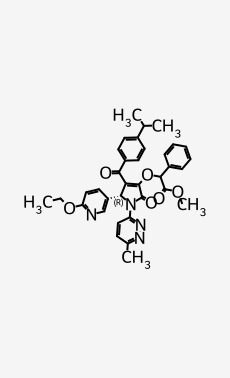 CCOc1ccc([C@@H]2C(C(=O)c3ccc(C(C)C)cc3)=C(OC(C(=O)OC)c3ccccc3)C(=O)N2c2ccc(C)nn2)cn1